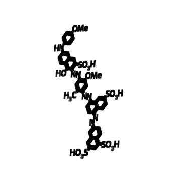 COc1ccc(Nc2ccc3c(O)c(N=Nc4cc(C)c(N=Nc5ccc(N=Nc6ccc7c(S(=O)(=O)O)cc(S(=O)(=O)O)cc7c6)c6ccc(S(=O)(=O)O)cc56)cc4OC)c(S(=O)(=O)O)cc3c2)cc1